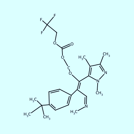 C/N=C\C(=C(\OCOC(=O)OCC(F)(F)F)c1c(C)c(C)nn1C)c1ccc(C(C)(C)C)cc1